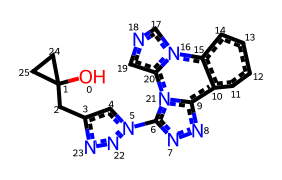 OC1(Cc2cn(-c3nnc4c5ccccc5n5cncc5n34)nn2)CC1